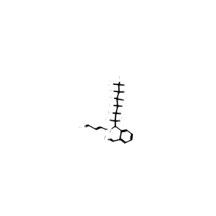 O=CC=CN1N=Cc2ccccc2C1C(F)(F)C(F)(F)C(F)(F)C(F)(F)C(F)(F)C(F)(F)F